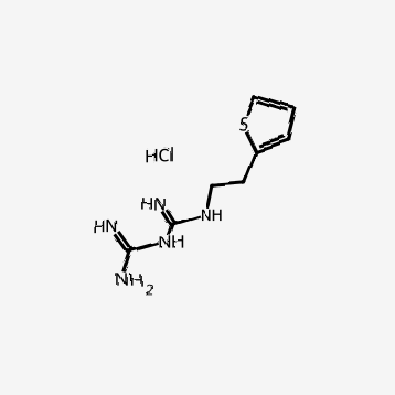 Cl.N=C(N)NC(=N)NCCc1cccs1